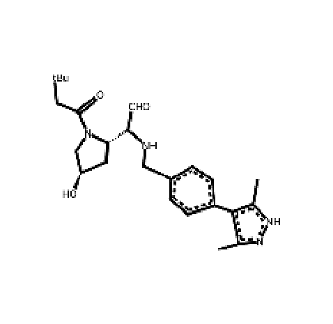 Cc1n[nH]c(C)c1-c1ccc(CNC(C=O)[C@@H]2C[C@@H](O)CN2C(=O)CC(C)(C)C)cc1